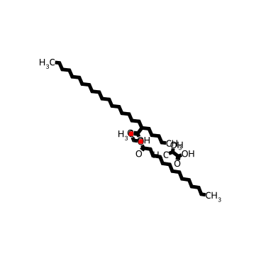 CC(O)C(=O)O.CCCCCCCCCCCCCC(=O)OCC.CCCCCCCCCCCCCCCCCCC(CCCCC)C(=O)O